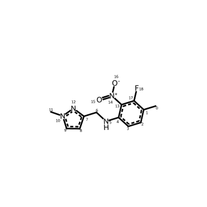 Cc1ccc(NCc2ccn(C)n2)c([N+](=O)[O-])c1F